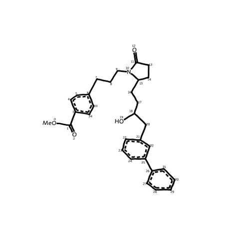 COC(=O)c1ccc(CCCN2C(=O)CCC2CCC(O)Cc2cccc(-c3ccccc3)c2)cc1